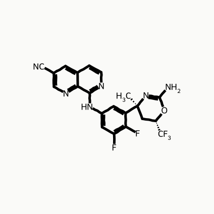 C[C@@]1(c2cc(Nc3nccc4cc(C#N)cnc34)cc(F)c2F)C[C@@H](C(F)(F)F)OC(N)=N1